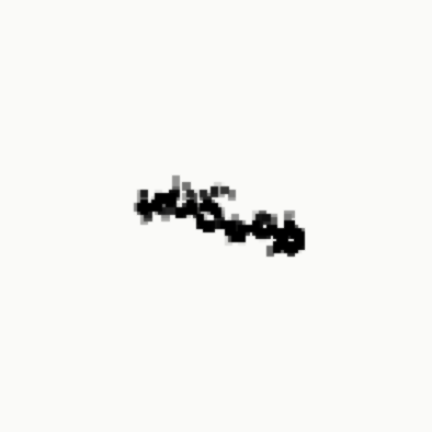 Cc1cc(C(F)(F)F)nn1CC(=O)N1CCN(c2nc(C3=NOC(c4c(F)cccc4F)C3)cs2)CC1[S+](C)[O-]